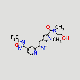 CN(CCO)C(=O)c1cc2cc(-c3cc(-c4noc(C(F)(F)F)n4)ccn3)ncc2n1C